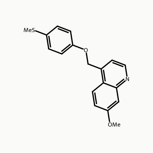 COc1ccc2c(COc3ccc(SC)cc3)ccnc2c1